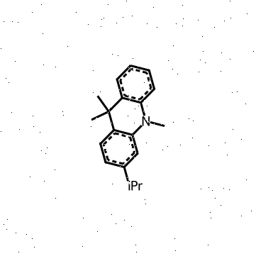 CC(C)c1ccc2c(c1)N(C)c1ccccc1C2(C)C